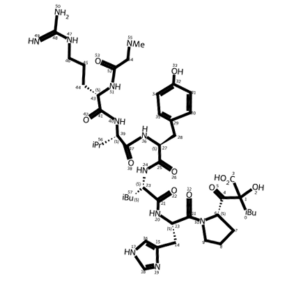 CCC(C)C(O)(C(=O)O)C(=O)[C@@H]1CCCN1C(=O)[C@H](Cc1c[nH]cn1)NC(=O)[C@@H](NC(=O)[C@H](Cc1ccc(O)cc1)NC(=O)[C@@H](NC(=O)[C@H](CCCNC(=N)N)NC(=O)CNC)C(C)C)[C@@H](C)CC